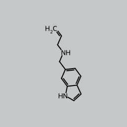 C=CCNCc1ccc2cc[nH]c2c1